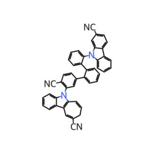 N#CC1=Cc2c(n(-c3cc(-c4ccccc4-c4ccccc4-n4c5ccccc5c5ccc(C#N)cc54)ccc3C#N)c3ccccc23)C=CC1